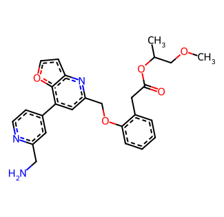 COCC(C)OC(=O)Cc1ccccc1OCc1cc(-c2ccnc(CN)c2)c2occc2n1